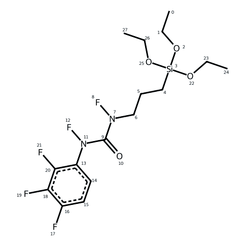 CCO[Si](CCCN(F)C(=O)N(F)c1ccc(F)c(F)c1F)(OCC)OCC